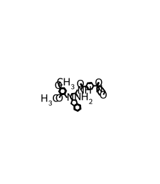 COc1ccc(CN(CC(N)CNC(=O)C2=CCC(C(=O)N3C4CCC3COC4)C=C2)C2Cc3ccccc3C2)c(OC)c1